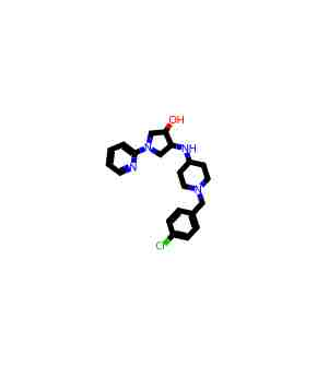 OC1CN(c2ccccn2)CC1NC1CCN(Cc2ccc(Cl)cc2)CC1